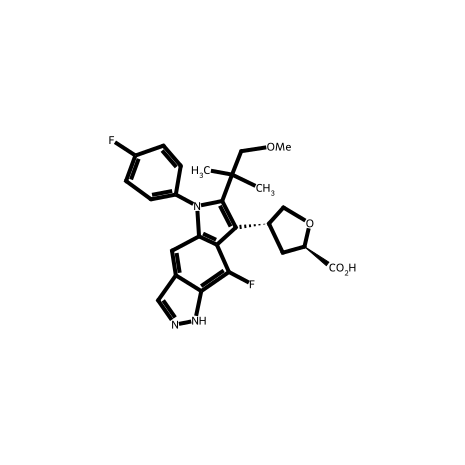 COCC(C)(C)c1c([C@@H]2CO[C@@H](C(=O)O)C2)c2c(F)c3[nH]ncc3cc2n1-c1ccc(F)cc1